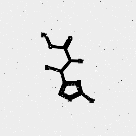 CC(C)OC(=O)C(Br)C(Br)n1cnc(Br)n1